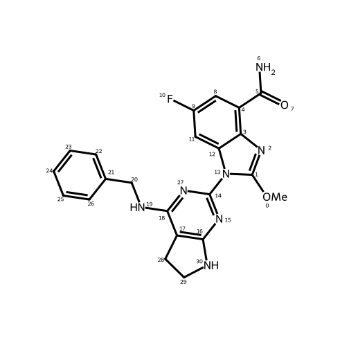 COc1nc2c(C(N)=O)cc(F)cc2n1-c1nc2c(c(NCc3ccccc3)n1)CCN2